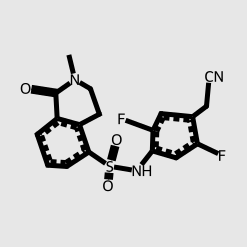 CN1CCc2c(cccc2S(=O)(=O)Nc2cc(F)c(CC#N)cc2F)C1=O